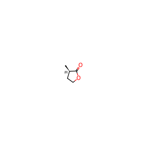 C[C@@H]1CCOC1=O